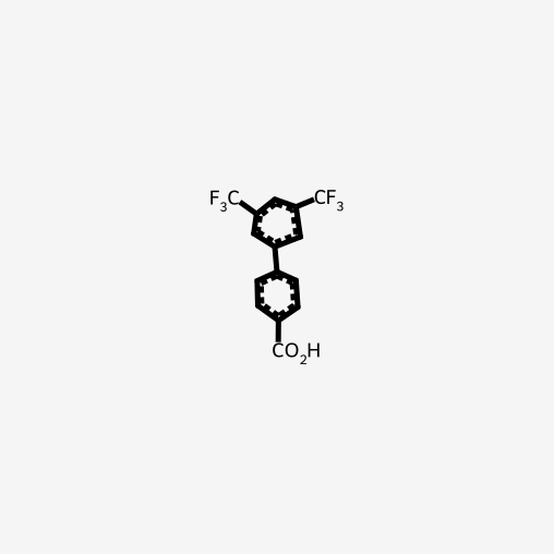 O=C(O)c1ccc(-c2cc(C(F)(F)F)cc(C(F)(F)F)c2)cc1